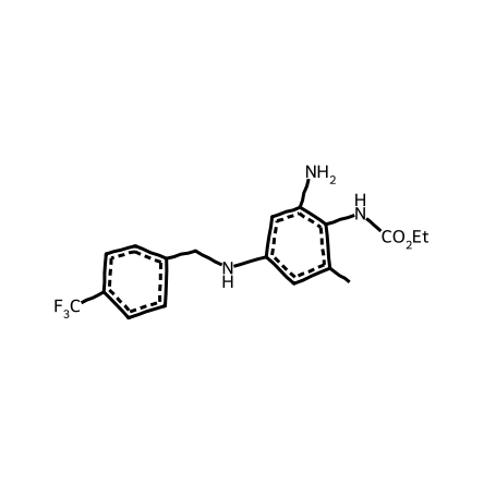 CCOC(=O)Nc1c(C)cc(NCc2ccc(C(F)(F)F)cc2)cc1N